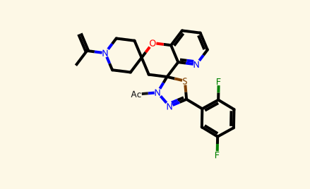 C=C(C)N1CCC2(CC1)CC1(SC(c3cc(F)ccc3F)=NN1C(C)=O)c1ncccc1O2